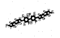 Fc1cc2sc3c4sc(-c5c(F)c(F)c(-c6c(F)c(F)c(-c7cc8sc9c%10sc(F)cc%10sc9c8s7)c(F)c6F)c(F)c5F)cc4sc3c2s1